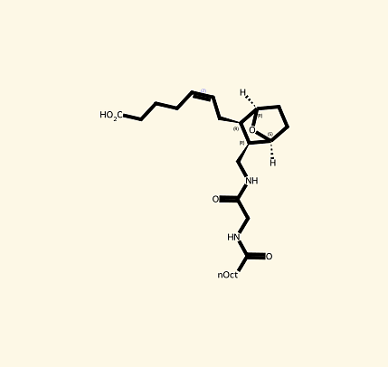 CCCCCCCCC(=O)NCC(=O)NC[C@H]1[C@@H](C/C=C\CCCC(=O)O)[C@H]2CC[C@@H]1O2